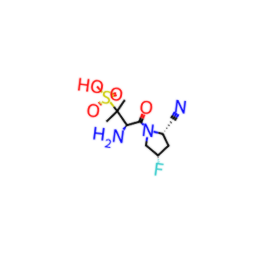 CC(C)([C@H](N)C(=O)N1C[C@@H](F)C[C@H]1C#N)S(=O)(=O)O